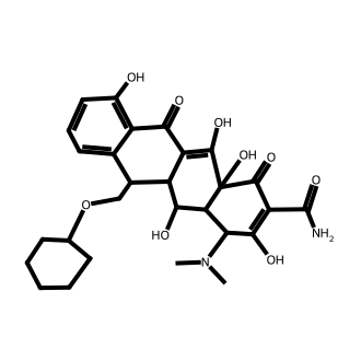 CN(C)C1C(O)=C(C(N)=O)C(=O)C2(O)C(O)=C3C(=O)c4c(O)cccc4C(COC4CCCCC4)C3C(O)C12